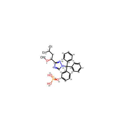 CCC(CC)CC(ON=O)c1ncn(C(c2ccccc2)(c2ccccc2)c2ccccc2)n1.O=[PH](O)O